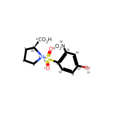 O=C(O)[C@@H]1CCCN1S(=O)(=O)c1ccc(Br)cc1[N+](=O)[O-]